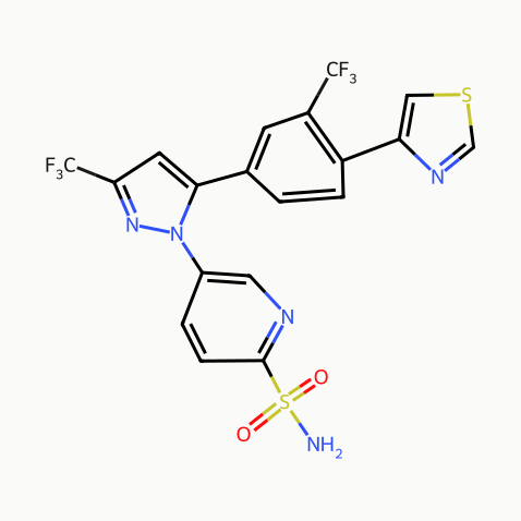 NS(=O)(=O)c1ccc(-n2nc(C(F)(F)F)cc2-c2ccc(-c3cscn3)c(C(F)(F)F)c2)cn1